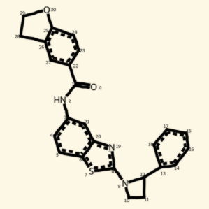 O=C(Nc1ccc2sc(N3CCC3c3ccccc3)nc2c1)c1ccc2c(c1)CCO2